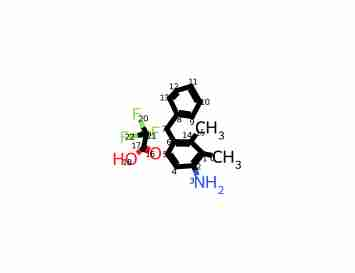 Cc1c(N)ccc(Cc2ccccc2)c1C.O=C(O)C(F)(F)F